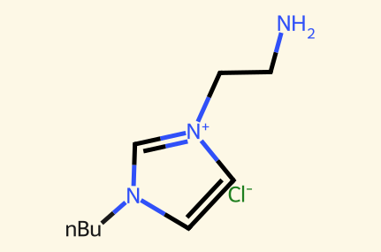 CCCCn1cc[n+](CCN)c1.[Cl-]